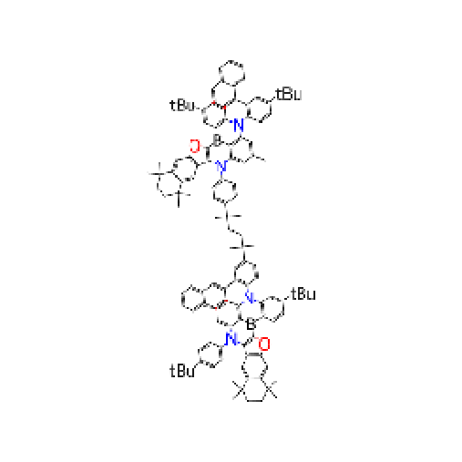 Cc1cc2c3c(c1)N(c1ccc(C(C)(C)C)cc1)c1c(oc4cc5c(cc14)C(C)(C)CCC5(C)C)B3c1ccc(C(C)(C)C)cc1N2c1ccc(C(C)(C)CCC(C)(C)c2ccc(N3c4cc(C)cc5c4B(c4cc(C(C)(C)C)ccc4N5c4ccc(C(C)(C)C)cc4-c4cccc5ccccc45)c4oc5cc6c(cc5c43)C(C)(C)CCC6(C)C)cc2)cc1-c1ccc2ccccc2c1